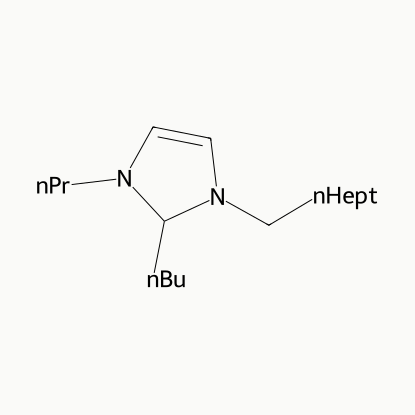 CCCCCCCCN1C=CN(CCC)C1CCCC